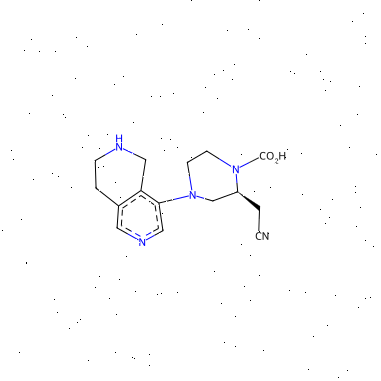 N#CC[C@H]1CN(c2cncc3c2CNCC3)CCN1C(=O)O